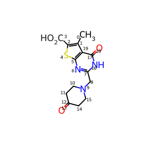 Cc1c(C(=O)O)sc2nc(CN3CCC(=O)CC3)[nH]c(=O)c12